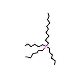 CCCCCCCCCC[P+](CCCCCC)(CCCCCC)CCCCCC